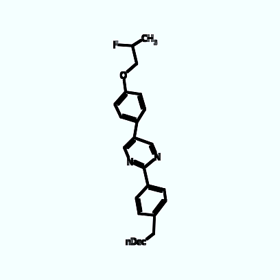 CCCCCCCCCCCc1ccc(-c2ncc(-c3ccc(OCC(C)F)cc3)cn2)cc1